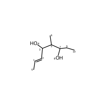 CC=CC(O)C(C)C(O)CC